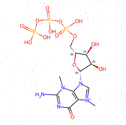 Cn1c(N)nc(=O)c2c1n([C@@H]1O[C@H](COP(=O)(O)OP(=O)(O)OP(=O)(O)O)[C@@H](O)[C@H]1O)c[n+]2C